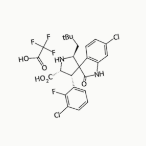 CC(C)(C)C[C@@H]1N[C@@H](C(=O)O)[C@@H](c2cccc(Cl)c2F)C12C(=O)Nc1cc(Cl)ccc12.O=C(O)C(F)(F)F